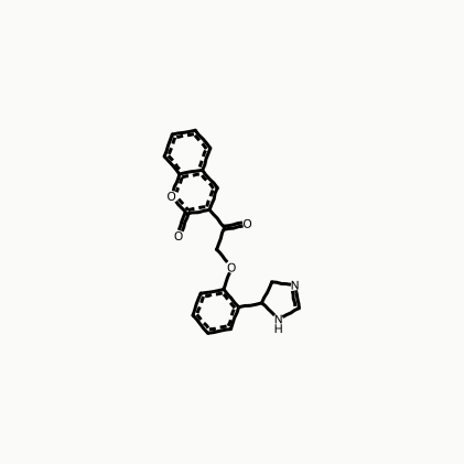 O=C(COc1ccccc1C1CN=CN1)c1cc2ccccc2oc1=O